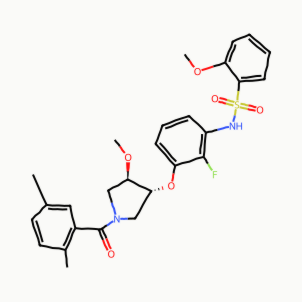 COc1ccccc1S(=O)(=O)Nc1cccc(O[C@@H]2CN(C(=O)c3cc(C)ccc3C)C[C@H]2OC)c1F